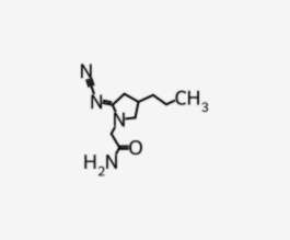 CCCC1CC(=NC#N)N(CC(N)=O)C1